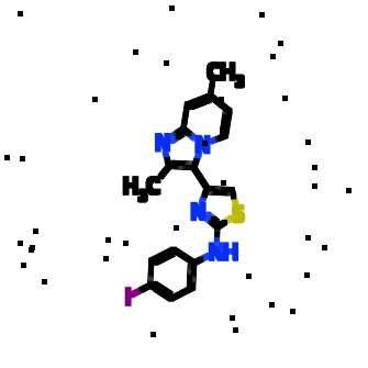 Cc1ccn2c(-c3csc(Nc4ccc(I)cc4)n3)c(C)nc2c1